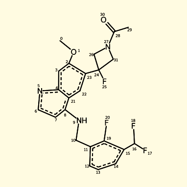 COc1cc2nccc(NCc3cccc(C(F)F)c3F)c2cc1C1(F)CN(C(C)=O)C1